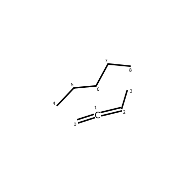 C=C=CC.CCCCC